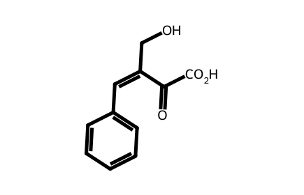 O=C(O)C(=O)C(=Cc1ccccc1)CO